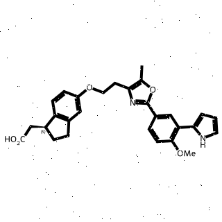 COc1ccc(-c2nc(CCOc3ccc4c(c3)CC[C@H]4CC(=O)O)c(C)o2)cc1-c1ccc[nH]1